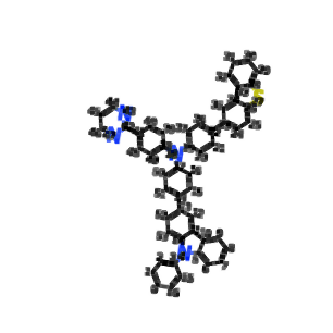 c1ccc(-n2c3ccccc3c3cc(-c4ccc(N(c5ccc(-c6ccc7sc8ccccc8c7c6)cc5)c5ccc(-c6ncccn6)cc5)cc4)ccc32)cc1